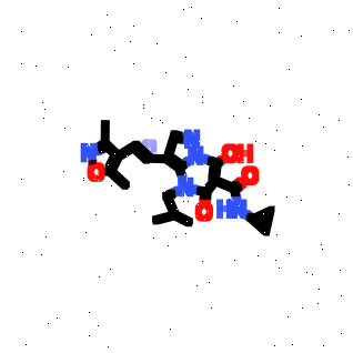 Cc1noc(C)c1/C=C/c1cnn2c(O)c(C(=O)NC3CC3)c(=O)n(CC(C)C)c12